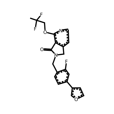 CC(F)(F)COc1nccc2c1C(=O)N(Cc1ccc(-c3ccoc3)cc1F)C2